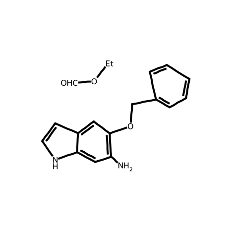 CCOC=O.Nc1cc2[nH]ccc2cc1OCc1ccccc1